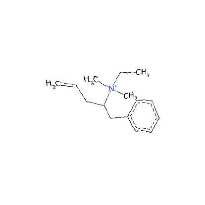 C=CCC(Cc1ccccc1)[N+](C)(C)CC